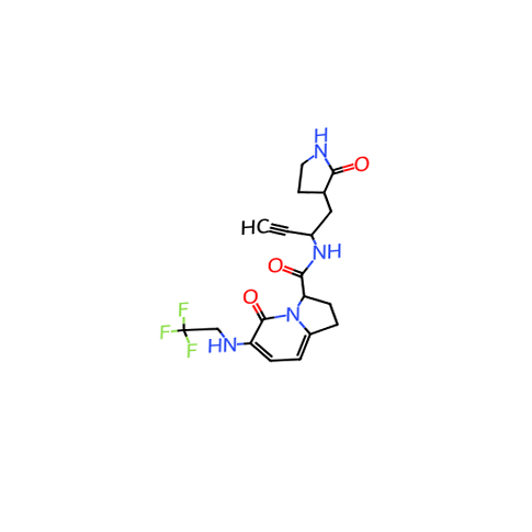 C#CC(CC1CCNC1=O)NC(=O)C1CCc2ccc(NCC(F)(F)F)c(=O)n21